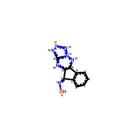 O/N=C1\c2ccccc2-c2nn3nnnc3nc21